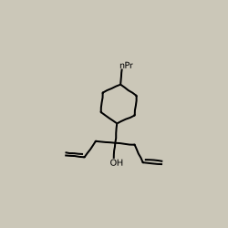 C=CCC(O)(CC=C)C1CCC(CCC)CC1